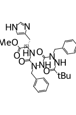 COC(=O)[C@H](Cc1c[nH]cn1)NC(=O)N(Cc1ccccc1)NC(=O)N(Cc1ccccc1)NC(=O)C(C)(C)C